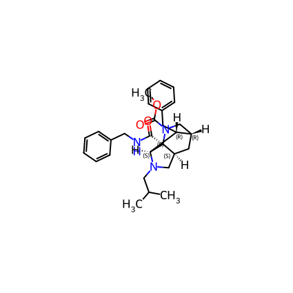 COC(=O)N1C[C@@H]2C[C@H]3CN(CC(C)C)[C@@H]([C@@H]2Cc2ccccc2)[C@]31C(=O)NCc1ccccc1